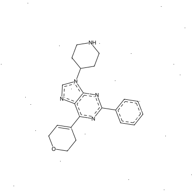 [c]1cccc(-c2nc(C3=CCOCC3)c3ncn(C4CCNCC4)c3n2)c1